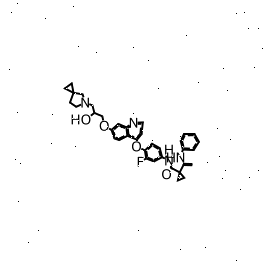 C=C(Nc1ccccc1)C1(C(=O)Nc2ccc(Oc3ccnc4cc(OCC(O)CN5CCC6(CC6)C5)ccc34)c(F)c2)CC1